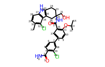 CNC(=O)c1ccc(-c2ccc(OC(C)C)c(C(=O)NC3(CO)CCc4[nH]c5ccc(C)c(Cl)c5c4C3)c2)cc1Cl